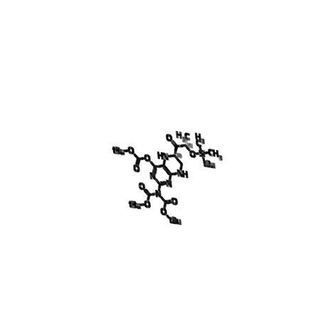 C[C@H](O[Si](C)(C)C(C)(C)C)C(=O)[C@H]1CNc2nc(N(C(=O)OC(C)(C)C)C(=O)OC(C)(C)C)nc(OC(=O)OC(C)(C)C)c2N1